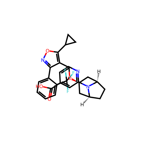 O=C(O)c1ccnc(N2[C@@H]3CC[C@H]2C[C@@H](OCc2c(-c4ccccc4C(F)(F)F)noc2C2CC2)C3)c1